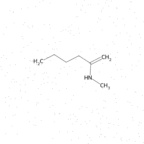 [CH2]CCCC(=C)NC